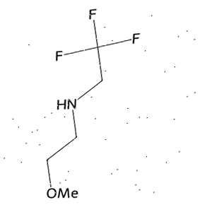 COCCNCC(F)(F)F